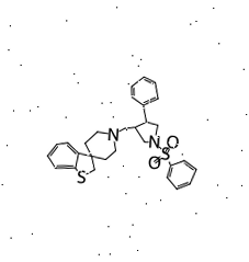 O=S(=O)(c1ccccc1)N1CC(CN2CCC3(CC2)CSc2ccccc23)C(c2ccccc2)C1